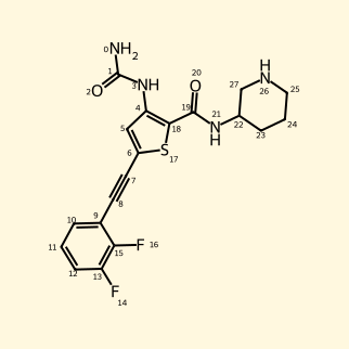 NC(=O)Nc1cc(C#Cc2cccc(F)c2F)sc1C(=O)NC1CCCNC1